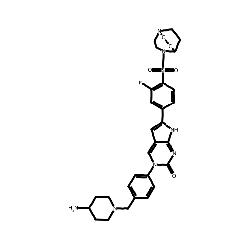 NC1CCN(Cc2ccc(-n3cc4cc(-c5ccc(S(=O)(=O)N6CCN7CCC6CC7)c(F)c5)[nH]c4nc3=O)cc2)CC1